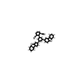 N#Cc1cccc(C#N)c1-c1cc(-c2ccc3c(c2)oc2ccccc23)cc(-c2ccc3oc4ccccc4c3c2)c1